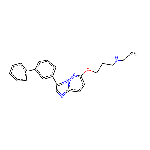 CCNCCCOc1ccc2ncc(-c3cccc(-c4ccccc4)c3)n2n1